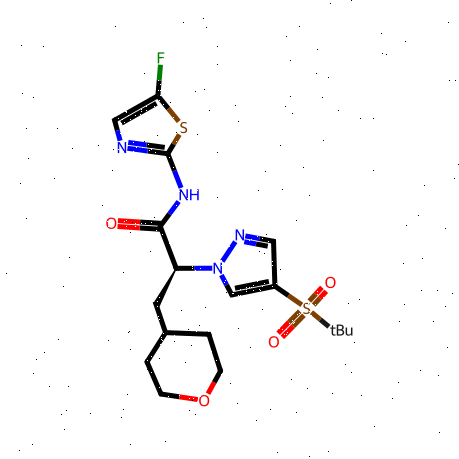 CC(C)(C)S(=O)(=O)c1cnn([C@@H](CC2CCOCC2)C(=O)Nc2ncc(F)s2)c1